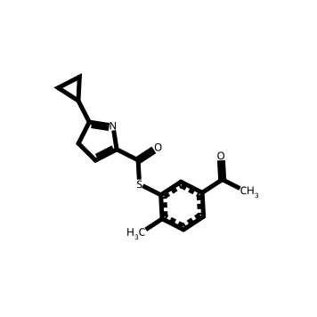 CC(=O)c1ccc(C)c(SC(=O)C2=CCC(C3CC3)=N2)c1